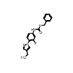 O=C(Nc1ccc(-n2cc(CO)cn2)c(F)c1)OCc1ccccc1